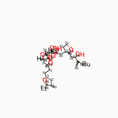 C=C1CC(CC[C@@]23C[C@H]4OC(C([C@H](C)O)O2)[C@@H](OC(O)CC2CCO[C@H]2CC(O)C(=C)[C@H](C)CC)C4O3)OC1CC